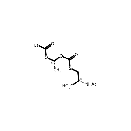 CCC(=O)O[C@@H](C)OC(=O)SC[C@H](NC(C)=O)C(=O)O